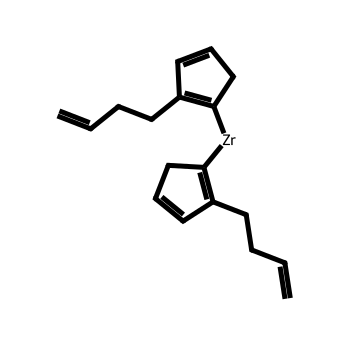 C=CCCC1=[C]([Zr][C]2=C(CCC=C)C=CC2)CC=C1